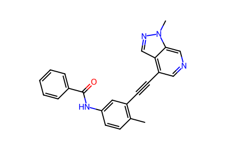 Cc1ccc(NC(=O)c2ccccc2)cc1C#Cc1cncc2c1cnn2C